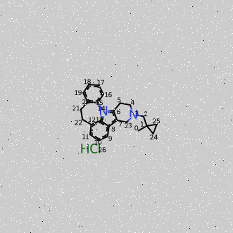 CC1(CN2CCc3c(c4cccc5c4n3-c3ccccc3CC5)C2)CC1.Cl